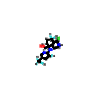 OCC1(Nc2ncc(C(F)(F)F)cc2F)CCC(F)(F)c2c1ccnc2Cl